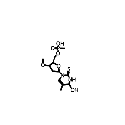 COC1C[C@H](N2C=C(C)C(O)NC2=S)O[C@@H]1COP(C)(=O)O